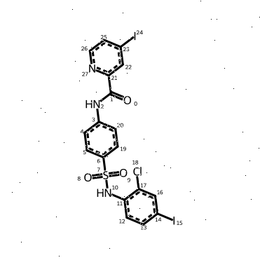 O=C(Nc1ccc(S(=O)(=O)Nc2ccc(I)cc2Cl)cc1)c1cc(I)ccn1